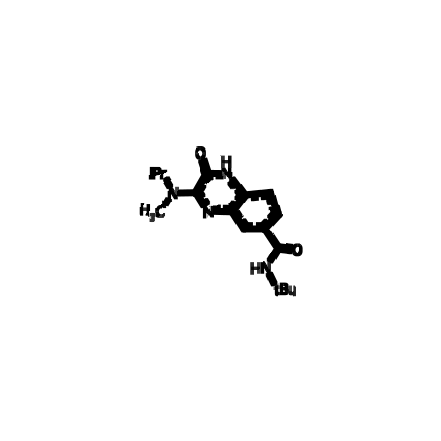 CC(C)N(C)c1nc2cc(C(=O)NC(C)(C)C)ccc2[nH]c1=O